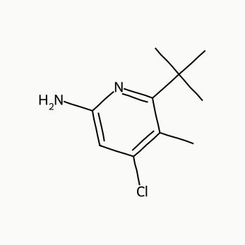 Cc1c(Cl)cc(N)nc1C(C)(C)C